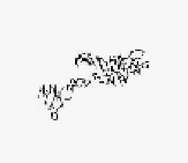 C[C@@H]1C(=O)CC2(CCN(c3cnc(Sc4ccnc(Nc5ncc6c(n5)n(-c5ccccc5P(C)(C)=O)c(=O)n6C)c4Cl)cn3)CC2)[C@H]1N.Cl